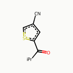 CC(C)C(=O)c1cc(C#N)cs1